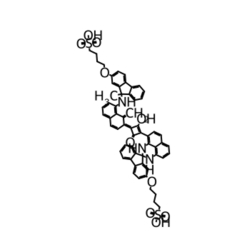 C=c1/c(=C2/C(=O)C(c3ccc4cccc5c4c3NC3(N5)c4ccccc4-c4ccc(OCCCCS(=O)(=O)O)cc43)=C2O)ccc2cccc(NC3(C)c4ccccc4-c4ccc(OCCCCS(=O)(=O)O)cc43)c12